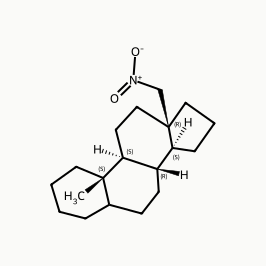 C[C@]12CCCCC1CC[C@H]1[C@@H]3CCC[C@@]3(C[N+](=O)[O-])CC[C@@H]12